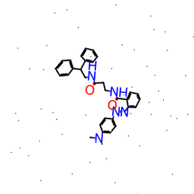 CN(C)c1ccc(/N=N/c2ccccc2C(=O)NCCC(=O)NCC(c2ccccc2)c2ccccc2)cc1